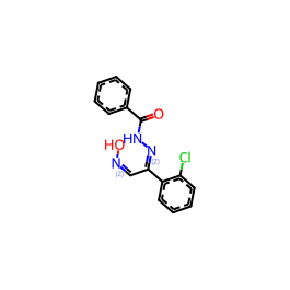 O=C(N/N=C(\C=N/O)c1ccccc1Cl)c1ccccc1